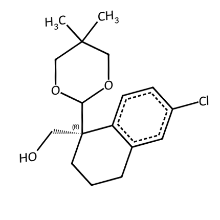 CC1(C)COC([C@]2(CO)CCCc3cc(Cl)ccc32)OC1